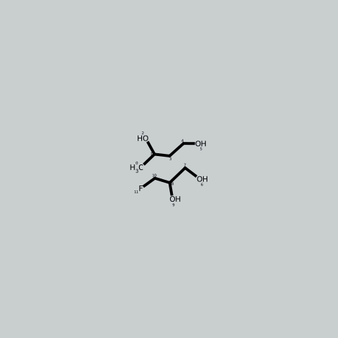 CC(O)CCO.OCC(O)CF